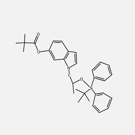 CC(Cn1ccc2ccc(OC(=O)C(C)(C)C)cc21)O[Si](c1ccccc1)(c1ccccc1)C(C)(C)C